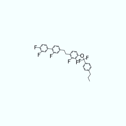 CCCc1ccc(C(F)(F)Oc2ccc(CCc3ccc(-c4ccc(F)c(F)c4)c(F)c3)c(F)c2F)cc1